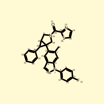 Cc1cc2c(cnn2-c2ccc(F)cc2)cc1C12CN(C(=O)c3nccs3)CC1C2c1ccccc1